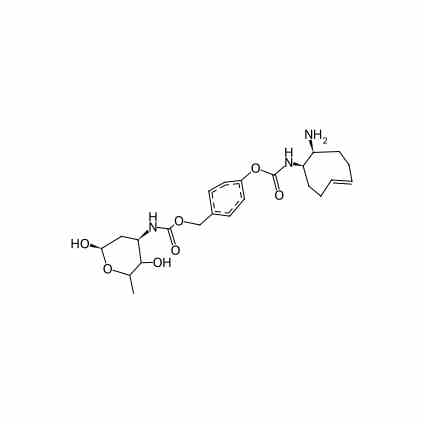 CC1O[C@@H](O)C[C@@H](NC(=O)OCc2ccc(OC(=O)N[C@@H]3CC/C=C/CC[C@@H]3N)cc2)C1O